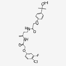 C=C(CCNC(=O)COc1ccc(C(C)(C)O)cc1)NC(=O)COc1ccc(Cl)c(F)c1